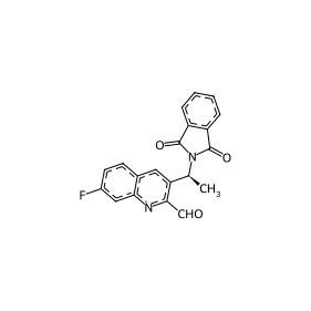 C[C@@H](c1cc2ccc(F)cc2nc1C=O)N1C(=O)c2ccccc2C1=O